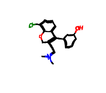 CN(C)CC1=C(c2cccc(O)c2)c2cccc(Cl)c2OC1